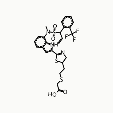 C=CC(c1ccccc1C(F)(F)F)S(=O)(=O)N(C)c1cccc2cc(C3=NCC(CCSCC(=O)O)S3)[nH]c12